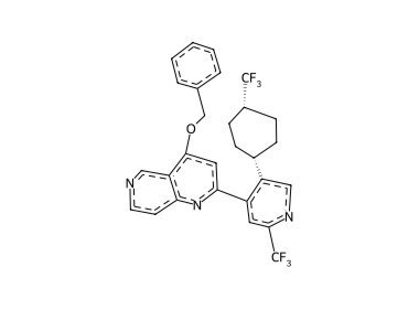 FC(F)(F)c1cc(-c2cc(OCc3ccccc3)c3cnccc3n2)c([C@H]2CC[C@@H](C(F)(F)F)CC2)cn1